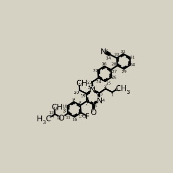 CCCc1nc(=O)c(-c2ccc(OC(C)C)cc2F)c(CC)n1Cc1ccc(-c2ccccc2C#N)cc1